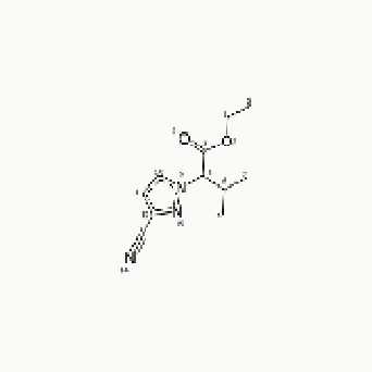 CCOC(=O)C(C(C)C)n1ccc(C#N)n1